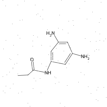 CCC(=O)Nc1cc(N)cc(N)c1